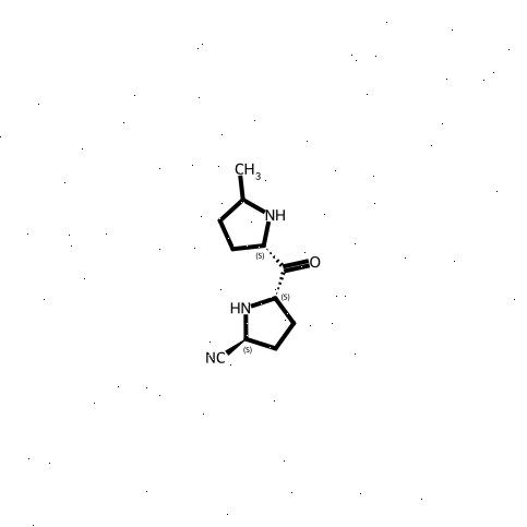 CC1CC[C@@H](C(=O)[C@@H]2CC[C@@H](C#N)N2)N1